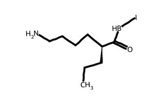 CCC[C@@H](CCCCN)C(=O)BI